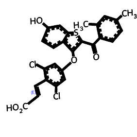 Cc1ccc(C(=O)c2sc3cc(O)ccc3c2Oc2cc(Cl)c(/C=C/C(=O)O)c(Cl)c2)c(C)c1